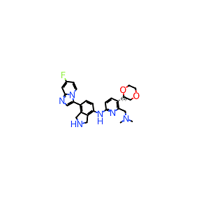 CN(C)Cc1nc(Nc2ccc(-c3cnc4cc(F)ccn34)c3c2CNC3)ccc1[C@H]1COCCO1